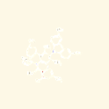 C=C(/C=C\CC)N(C(=C)/C=C\CC)c1c(-c2cccc(C(F)(F)F)c2)c(C)c(-n2c3ccc(C(C)(C)C)cc3c3cc(C(C)(C)C)ccc32)c(C)c1-c1cccc(C(F)(F)F)c1